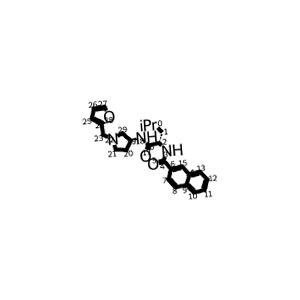 CC(C)C[C@H](NC(=O)c1ccc2ccccc2c1)C(=O)N[C@H]1CCN(Cc2ccco2)C1